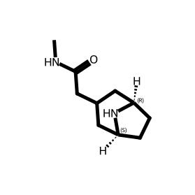 CNC(=O)CC1C[C@H]2CC[C@@H](C1)N2